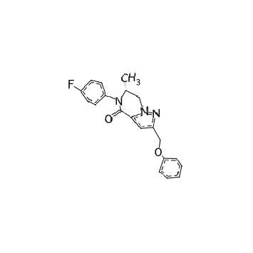 C[C@@H]1Cn2nc(COc3ccccc3)cc2C(=O)N1c1ccc(F)cc1